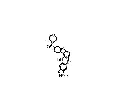 C[C@@H]1COCCN1C(=O)[C@H]1CCc2c(sc3ncnc(Nc4cc5cn[nH]c5cc4Br)c23)C1